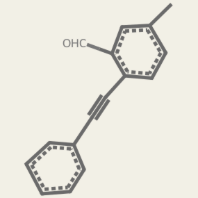 Cc1ccc(C#Cc2ccccc2)c(C=O)c1